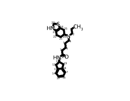 CCCN(CCCCC(=O)NC1Cc2ccccc2C1)C1CCC2=C(C1)SCN2